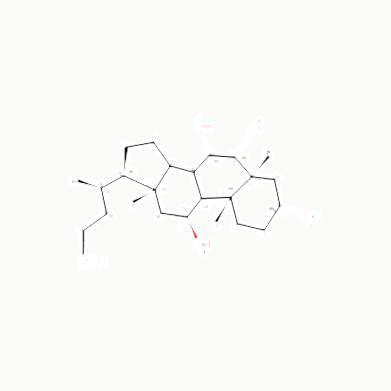 CC[C@H]1[C@@H](O)C2C3CC[C@H]([C@H](C)CCC(=O)O)[C@@]3(C)C[C@H](O)C2[C@@]2(C)CC[C@@H](O)C[C@@]12C